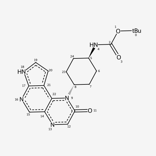 CC(C)(C)OC(=O)N[C@H]1CC[C@H](n2c(=O)cnc3cnc4[nH]ccc4c32)CC1